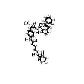 O=C(CCCCNC1=NCCCN1)Nc1ccc(C[C@H](NC(=O)[C@@H]2CCCN2S(=O)(=O)c2ccccc2)C(=O)O)cc1